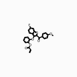 C=CC(=O)Oc1ccccc1Oc1c(C(=O)c2ccc(OC)cc2)sc2cc(F)ccc12